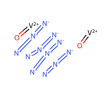 [N-]=[N+]=[N-].[N-]=[N+]=[N-].[N-]=[N+]=[N-].[N-]=[N+]=[N-].[O]=[V+2].[O]=[V+2]